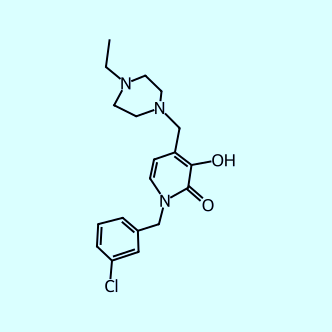 CCN1CCN(Cc2ccn(Cc3cccc(Cl)c3)c(=O)c2O)CC1